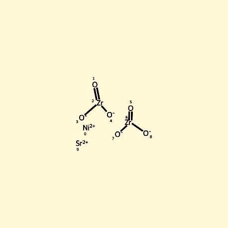 [Ni+2].[O]=[Zr]([O-])[O-].[O]=[Zr]([O-])[O-].[Sr+2]